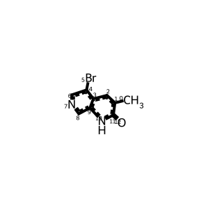 Cc1cc2c(Br)cncc2[nH]c1=O